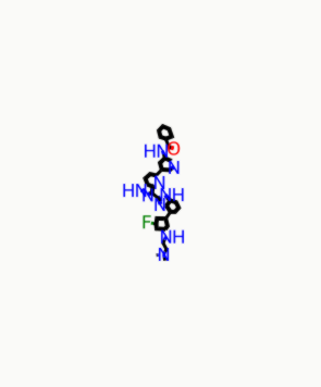 CN(C)CCNc1cc(F)cc(-c2cccc3[nH]c(-c4n[nH]c5ccc(-c6cncc(NC(=O)c7ccccc7)c6)nc45)nc23)c1